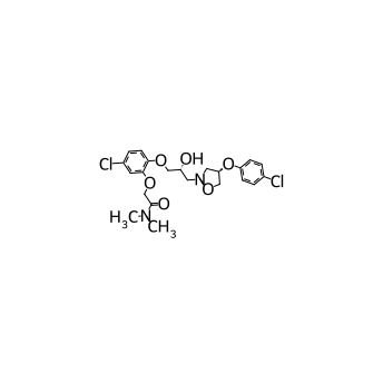 CN(C)C(=O)COc1cc(Cl)ccc1OC[C@H](O)CN1C[C@@H](Oc2ccc(Cl)cc2)CO1